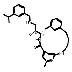 Cc1cc2cc(n1)NCCCCc1cccc(c1)C[C@@H]([C@H](O)CNCc1cccc(C(C)C)c1)NC2=O